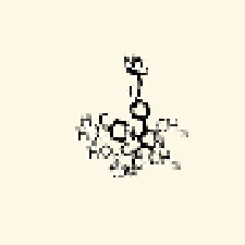 Cc1nc(C)c([C@H](OC(C)(C)C)C(=O)O)c(N2CCC(C)(C)CC2)c1-c1ccc(OCc2cncs2)cc1